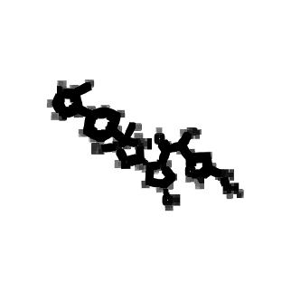 BBc1cc(C(C(=O)N2C[C@H](O)C[C@@H]2C2=NN(CC)[C@](C)(c3ccc(-c4scnc4C)cc3)N2)C(C)C)on1